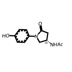 CC(=O)N[C@H]1CC(=O)N(c2ccc(O)cc2)C1